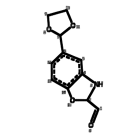 O=CC1Nc2cc(C3OCCO3)ccc2O1